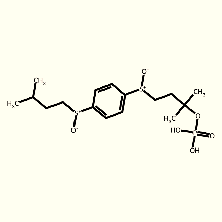 CC(C)CC[S+]([O-])c1ccc([S+]([O-])CCC(C)(C)OP(=O)(O)O)cc1